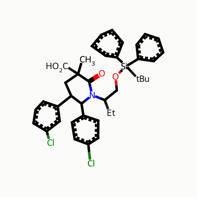 CCC(CO[Si](c1ccccc1)(c1ccccc1)C(C)(C)C)N1C(=O)C(C)(C(=O)O)CC(c2cccc(Cl)c2)C1c1ccc(Cl)cc1